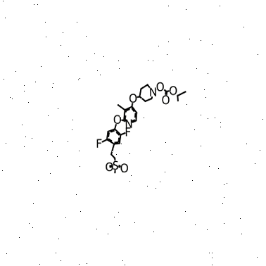 Cc1c(OC2CCN(OC(=O)OC(C)C)CC2)ccnc1Oc1cc(F)c(CCS(C)(=O)=O)cc1F